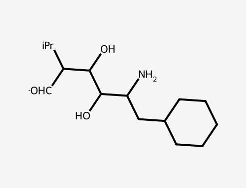 CC(C)C([C]=O)C(O)C(O)C(N)CC1CCCCC1